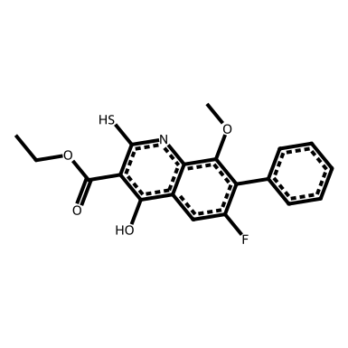 CCOC(=O)c1c(S)nc2c(OC)c(-c3ccccc3)c(F)cc2c1O